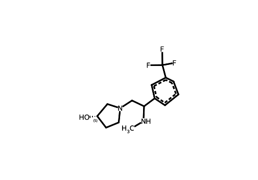 CNC(CN1CC[C@H](O)C1)c1cccc(C(F)(F)F)c1